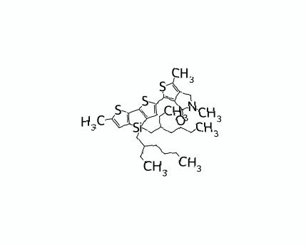 CCCCC(CC)C[Si]1(CC(CC)CCCC)c2cc(C)sc2-c2sc(-c3sc(C)c4c3C(=O)N(C)C4)cc21